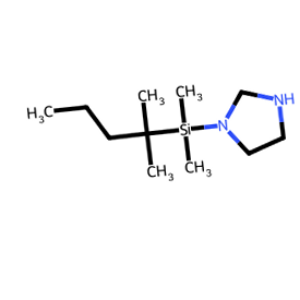 CCCC(C)(C)[Si](C)(C)N1CCNC1